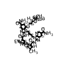 CCn1nc(C)cc1C(=O)Nc1nc2cc(C(N)=O)cnc2n1C/C=C/Cn1c(NC(=O)c2cc(C)nn2CC)nc2cc(C(N)=O)cc(OCCCO[Si](C)(C)C(C)(C)C)c21